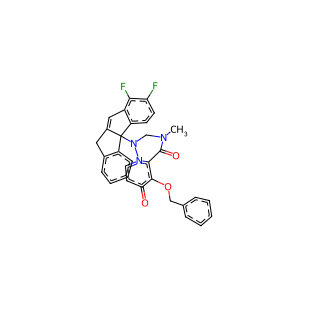 CN1CN(C23C(=Cc4c2ccc(F)c4F)Cc2ccccc23)n2ccc(=O)c(OCc3ccccc3)c2C1=O